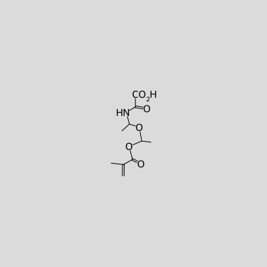 C=C(C)C(=O)OC(C)OC(C)NC(=O)C(=O)O